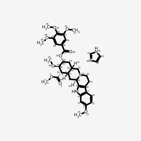 COC(=O)[C@H]1[C@H]2C[C@@H]3c4[nH]c5cc(OC)ccc5c4CCN3C[C@H]2C[C@@H](OC(=O)c2cc(OC)c(OC)c(OC)c2)[C@@H]1OC.c1c[nH]cn1